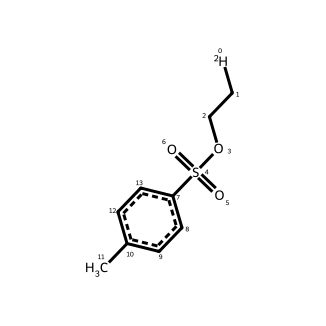 [2H]CCOS(=O)(=O)c1ccc(C)cc1